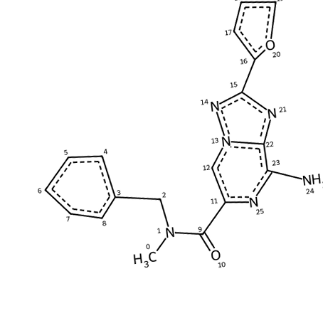 CN(Cc1ccccc1)C(=O)c1cn2nc(-c3ccco3)nc2c(N)n1